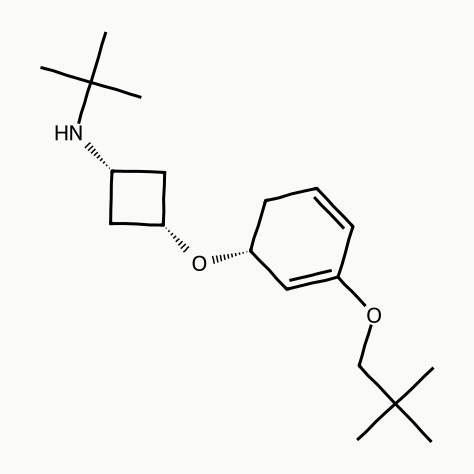 CC(C)(C)COC1=C[C@H](O[C@H]2C[C@@H](NC(C)(C)C)C2)CC=C1